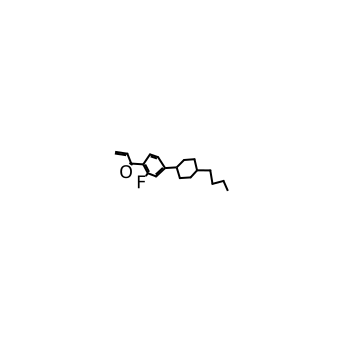 C=CC(=O)c1ccc(C2CCC(CCCC)CC2)cc1F